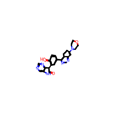 O=C1Nc2cncnc2C1c1cc(-c2ncnc3cc(N4CCOCC4)ccc23)ccc1O